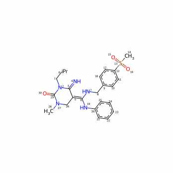 CC(C)CN1C(=N)/C(=C(\NCc2ccc(S(C)(=O)=O)cc2)Nc2ccccc2)CN(C)C1=O